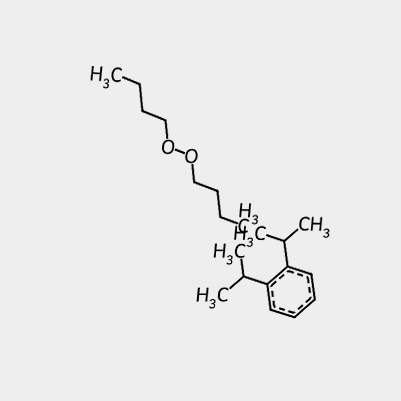 CC(C)c1ccccc1C(C)C.CCCCOOCCCC